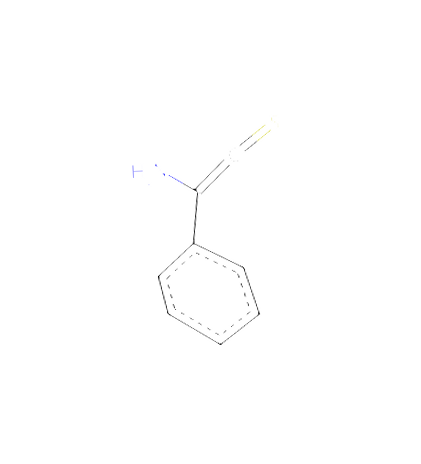 NC(=C=S)c1ccccc1